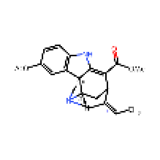 C/C=C1/CN2CC[C@]34C(=C(C(=O)OC)C1C[C@H]23)Nc1ccc(OC(C)=O)cc14